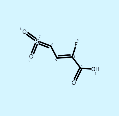 O=C(O)C(F)=CC=S(=O)=O